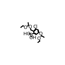 CCOC(C)OCc1c(Cl)cc(OC(C)OCC)cc1B(O)O